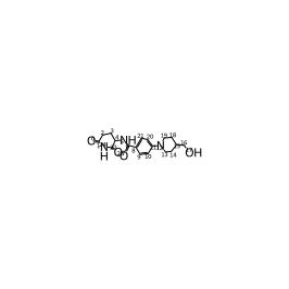 O=C1CCC(NC(=O)c2ccc(N3CCC(CO)CC3)cc2)C(=O)N1